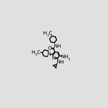 CC1CCN(c2nc(NC3CC3)c(N)cc2C(=O)N[C@H]2CC[C@H](C)CC2)CC1